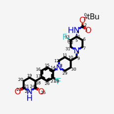 CC(C)(C)OC(=O)N[C@@H]1CCN(CC2CCN(c3ccc(C4CCC(=O)NC4=O)cc3F)CC2)C[C@H]1F